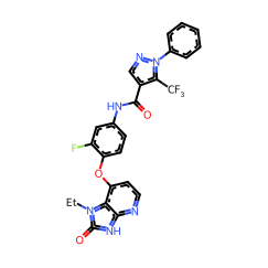 CCn1c(=O)[nH]c2nccc(Oc3ccc(NC(=O)c4cnn(-c5ccccc5)c4C(F)(F)F)cc3F)c21